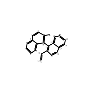 Cc1ccc2ccccc2c1-c1c(C=O)ccc2ccccc12